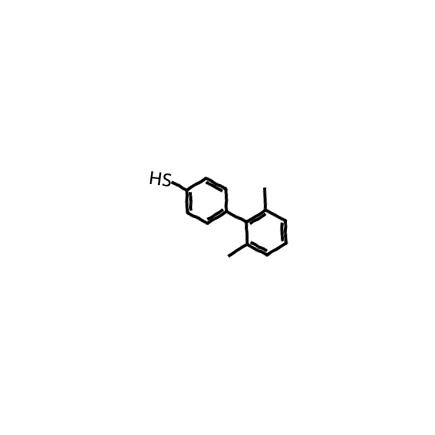 Cc1cccc(C)c1-c1ccc(S)cc1